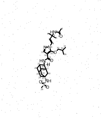 CC(=O)NC(C)(C)/C=C/n1ncc(C(=O)N[C@H]2C3CC4CC2C[C@](NS(C)(=O)=O)(C4)C3)c1OCC(C)C